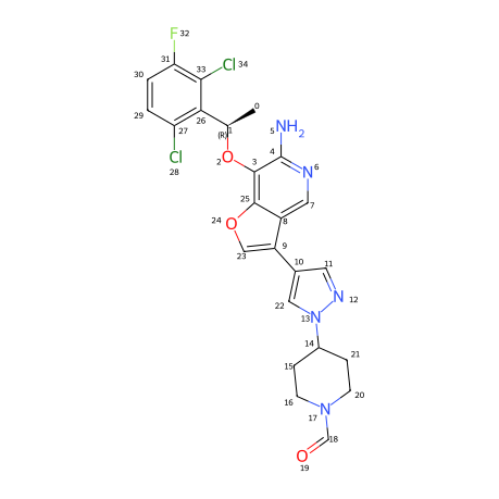 C[C@@H](Oc1c(N)ncc2c(-c3cnn(C4CCN(C=O)CC4)c3)coc12)c1c(Cl)ccc(F)c1Cl